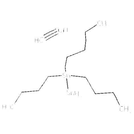 C#C.CCC[CH2][Sn]([SnH3])([CH2]CCC)[CH2]CCC